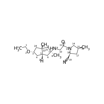 CCO[C@H]1C[C@H]2C[C@](C)(NCC(=O)N3C[C@@H](C)C[C@H]3C#N)C[C@@]2(C)C1